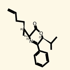 C=CCC[C@@H]1C[C@]12N=C(c1ccccc1)[C@H](C(C)C)OC2=O